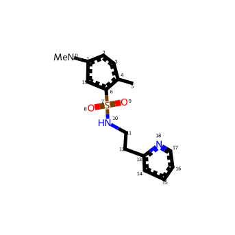 CNc1ccc(C)c(S(=O)(=O)NCCc2ccccn2)c1